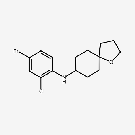 Clc1cc(Br)ccc1NC1CCC2(CCCO2)CC1